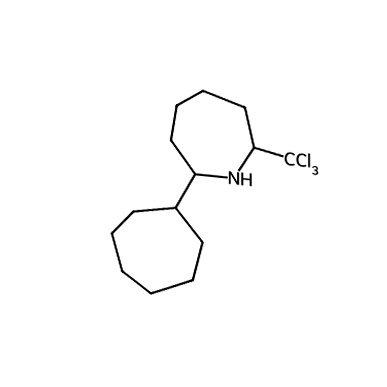 ClC(Cl)(Cl)C1CCCCC(C2CCCCCC2)N1